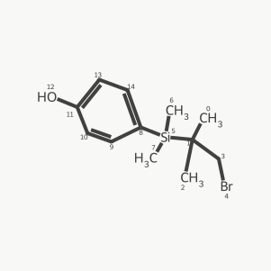 CC(C)(CBr)[Si](C)(C)c1ccc(O)cc1